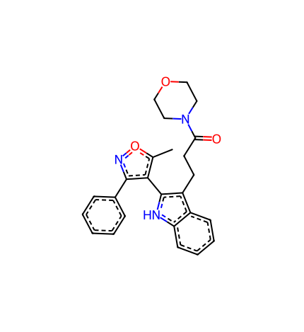 Cc1onc(-c2ccccc2)c1-c1[nH]c2ccccc2c1CCC(=O)N1CCOCC1